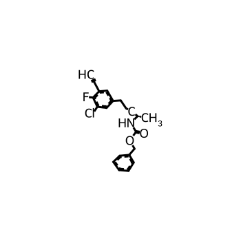 C#Cc1cc(CCC[C@@H](C)NC(=O)OCc2ccccc2)cc(Cl)c1F